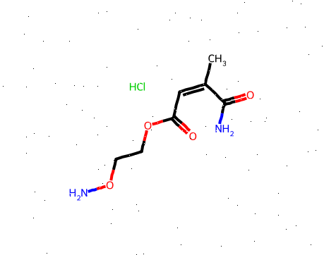 CC(=CC(=O)OCCON)C(N)=O.Cl